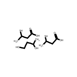 CC(O)CCO.CC(S)CC(=O)O.CC(S)CC(=O)O